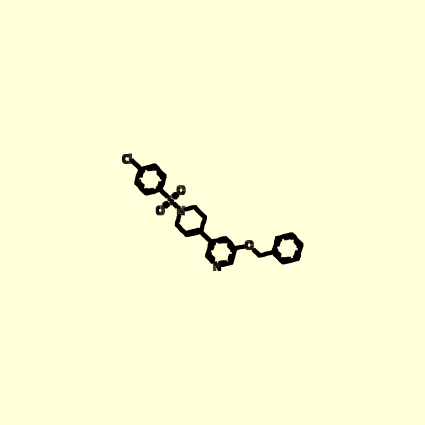 O=S(=O)(c1ccc(Cl)cc1)N1CC=C(c2cncc(OCc3ccccc3)c2)CC1